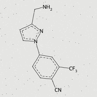 N#Cc1ccc(-n2ccc(CN)n2)cc1C(F)(F)F